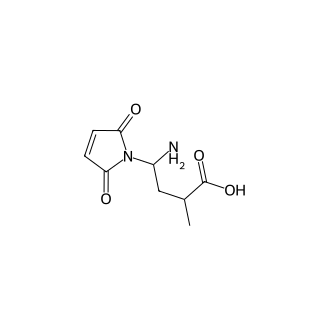 CC(CC(N)N1C(=O)C=CC1=O)C(=O)O